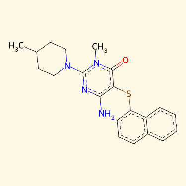 CC1CCN(c2nc(N)c(Sc3cccc4ccccc34)c(=O)n2C)CC1